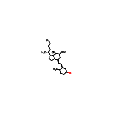 C=C1CC[C@H](O)C/C1=C/C=C1C[C@H](OC(C)=O)C[C@@]2(C)C1CC[C@@H]2[C@H](C)CCCC(C)C